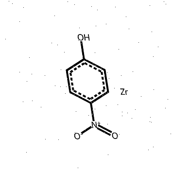 O=[N+]([O-])c1ccc(O)cc1.[Zr]